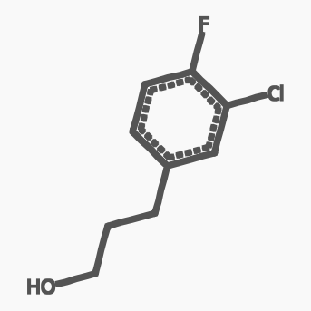 OCCCc1ccc(F)c(Cl)c1